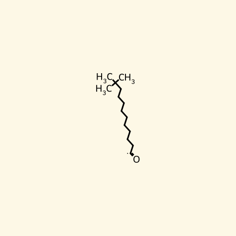 CC(C)(C)CCCCCCCCC[C]=O